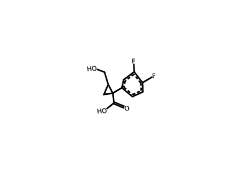 O=C(O)C1(c2ccc(F)c(F)c2)CC1CO